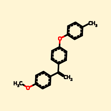 C=C(c1ccc(OC)cc1)c1ccc(Oc2ccc(C)cc2)cc1